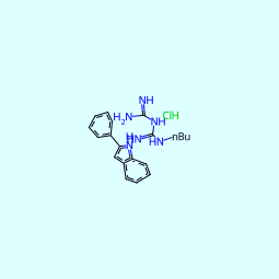 CCCCNC(=N)NC(=N)N.Cl.c1ccc(-c2cc3ccccc3[nH]2)cc1